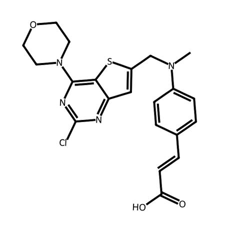 CN(Cc1cc2nc(Cl)nc(N3CCOCC3)c2s1)c1ccc(C=CC(=O)O)cc1